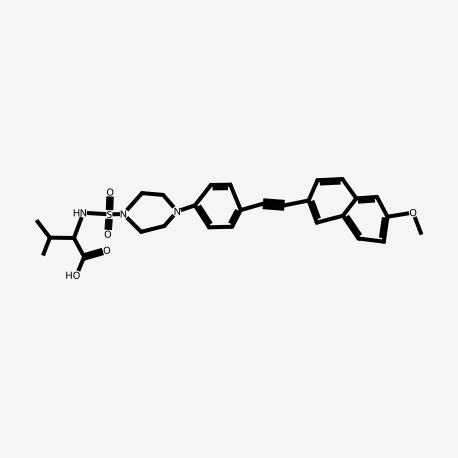 COc1ccc2cc(C#Cc3ccc(N4CCN(S(=O)(=O)NC(C(=O)O)C(C)C)CC4)cc3)ccc2c1